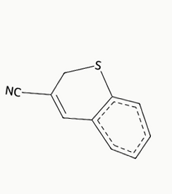 N#CC1=Cc2ccccc2SC1